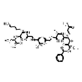 CC[C@H](NC(=O)CNC(=O)[C@H](CC)NC(=O)[C@H](CCC(N)=O)NC(=O)[C@H](C)NC(=O)c1ccccc1)C(=O)NCC(=O)N[C@@H](CCCCN)C(=O)NC(C(=O)O)[C@@H](C)O